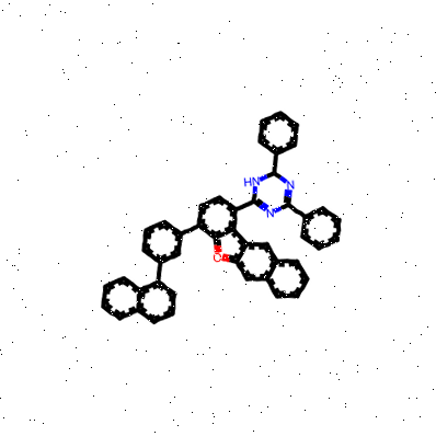 c1ccc(C2=NC(c3ccccc3)NC(c3ccc(-c4cccc(-c5cccc6ccccc56)c4)c4oc5cc6ccccc6cc5c34)=N2)cc1